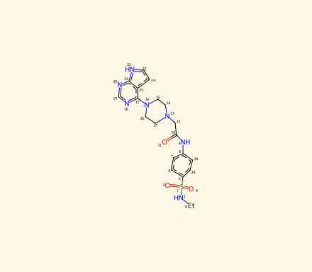 CCNS(=O)(=O)c1ccc(NC(=O)CN2CCN(c3ncnc4[nH]ccc34)CC2)cc1